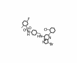 Cc1ccc(F)cc1S(=O)(=O)Nc1ccc(CNc2cc(-c3ccccc3Cl)nc3c(Br)cnn23)cc1